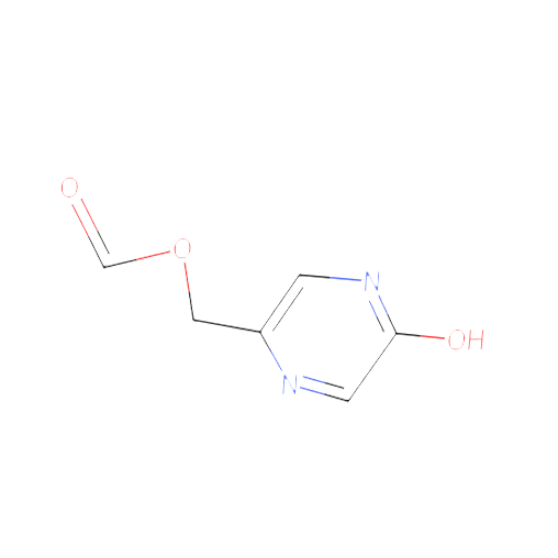 O=COCc1cnc(O)cn1